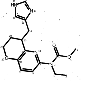 CCN(C(=O)OC)c1ccc2c(n1)C(Cc1c[nH]cn1)CCO2